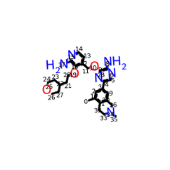 Cc1cc(-c2cnc(N)c(OCc3ccnc(N)c3OCCC3CCOCC3)n2)cc2c1CCN(C)C2